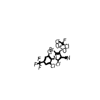 N#Cc1c(S(=O)(=O)C(F)(Cl)Cl)c(Br)n(-c2c(Cl)cc(C(F)(F)F)cc2Cl)c1Cl